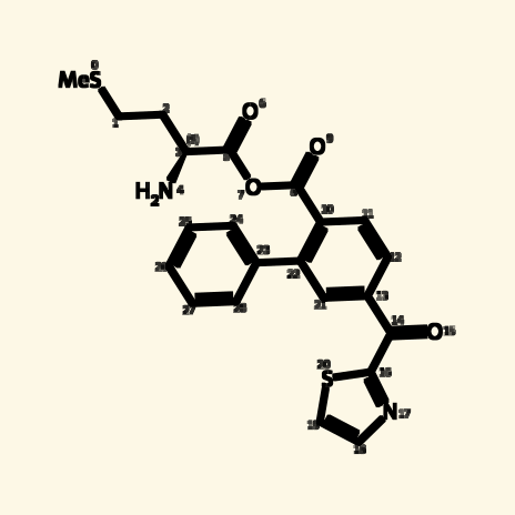 CSCC[C@H](N)C(=O)OC(=O)c1ccc(C(=O)c2nccs2)cc1-c1ccccc1